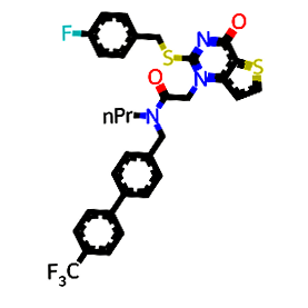 CCCN(Cc1ccc(-c2ccc(C(F)(F)F)cc2)cc1)C(=O)Cn1c(SCc2ccc(F)cc2)nc(=O)c2sccc21